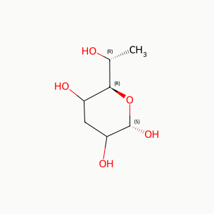 C[C@@H](O)[C@H]1O[C@H](O)C(O)CC1O